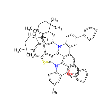 CC(C)(C)c1ccc(N2c3sc4cc5c(cc4c3B3c4c(cc6c(oc7ccccc76)c42)-c2cc(-c4ccccc4)ccc2N3c2ccc3c(c2)C(C)(C)CCC3(C)C)C(C)(C)CCC5(C)C)c(-c2ccccc2)c1